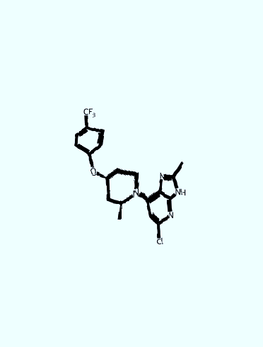 Cc1nc2c(N3CC[C@H](Oc4ccc(C(F)(F)F)cc4)C[C@@H]3C)cc(Cl)nc2[nH]1